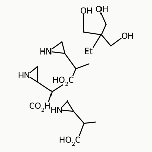 CC(C(=O)O)C1CN1.CC(C(=O)O)C1CN1.CC(C(=O)O)C1CN1.CCC(CO)(CO)CO